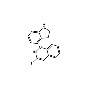 FC1=Cc2ccccc2ON1.c1ccc2c(c1)CCN2